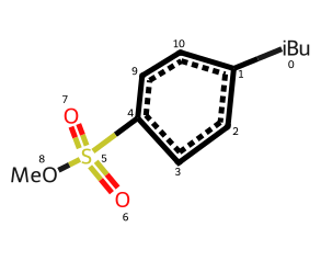 CCC(C)c1ccc(S(=O)(=O)OC)cc1